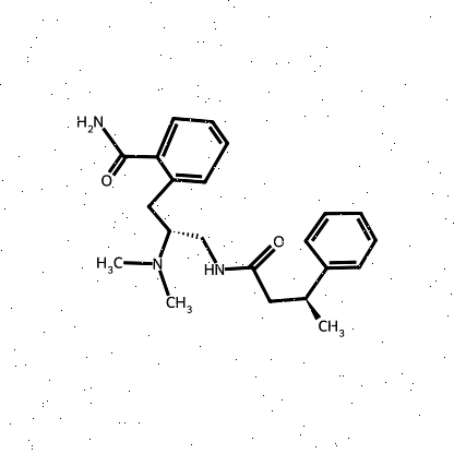 C[C@@H](CC(=O)NC[C@@H](Cc1ccccc1C(N)=O)N(C)C)c1ccccc1